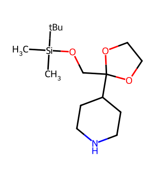 CC(C)(C)[Si](C)(C)OCC1(C2CCNCC2)OCCO1